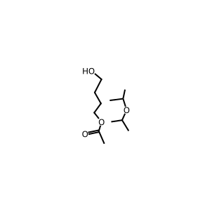 CC(=O)OCCCCO.CC(C)OC(C)C